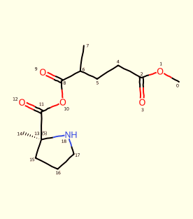 COC(=O)CCC(C)C(=O)OC(=O)[C@]1(C)CCCN1